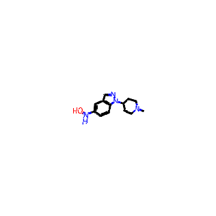 CN1CCC(n2ncc3cc(NO)ccc32)CC1